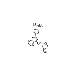 CCN(CC)c1ccc(-c2cc3nccnc3c(OCC3CN(C(C)=O)CCO3)n2)cc1